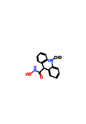 O=CNc1ccccc1C(C(=O)NO)c1ccccc1